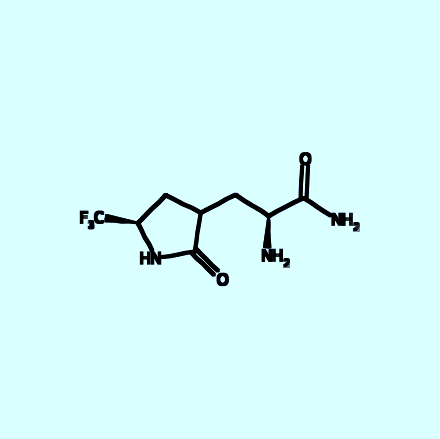 NC(=O)[C@@H](N)CC1C[C@H](C(F)(F)F)NC1=O